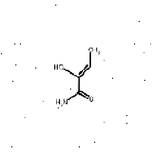 C/C=C(\O)C(N)=O